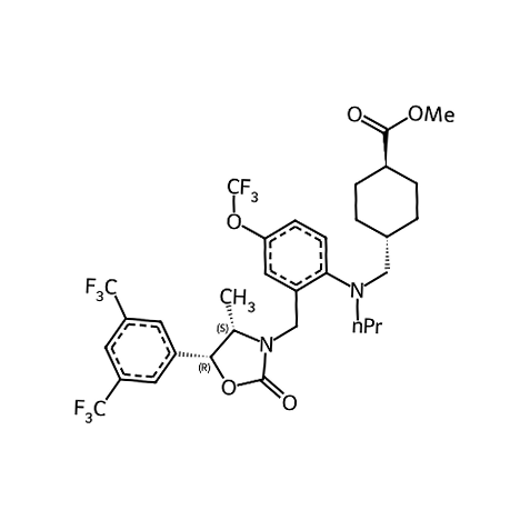 CCCN(C[C@H]1CC[C@H](C(=O)OC)CC1)c1ccc(OC(F)(F)F)cc1CN1C(=O)O[C@H](c2cc(C(F)(F)F)cc(C(F)(F)F)c2)[C@@H]1C